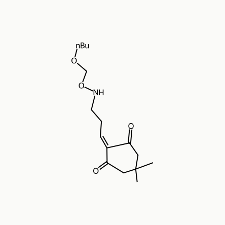 CCCCOCONCCC=C1C(=O)CC(C)(C)CC1=O